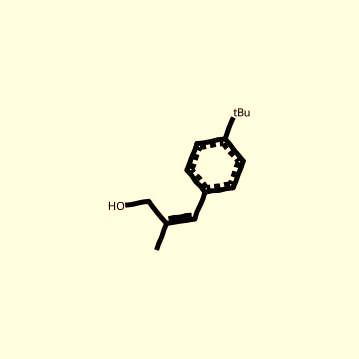 CC(=Cc1ccc(C(C)(C)C)cc1)CO